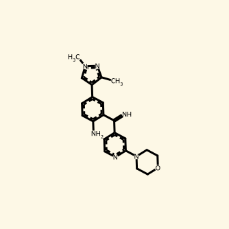 Cc1nn(C)cc1-c1ccc(N)c(C(=N)c2ccnc(N3CCOCC3)c2)c1